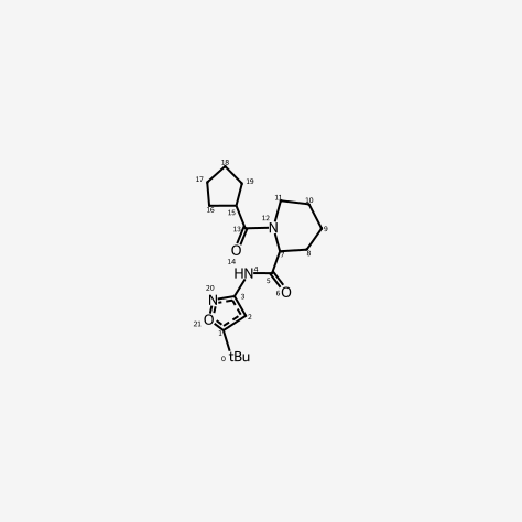 CC(C)(C)c1cc(NC(=O)C2CCCCN2C(=O)C2CCCC2)no1